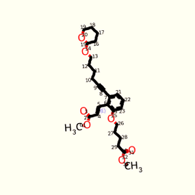 COC(=O)/C=C/c1c(C#CCCCCOC2CCCCO2)cccc1OCCCCC(=O)OC